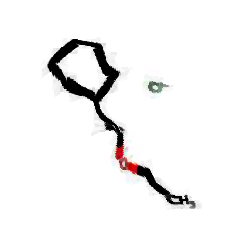 CC[O][Al+][c]1ccccc1.[Cl-]